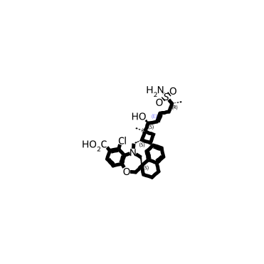 C[C@H](C/C=C/[C@H](O)[C@@]1(C)CC[C@@H]1CN1C[C@@]2(CCCc3ccccc32)COc2ccc(C(=O)O)c(Cl)c21)S(N)(=O)=O